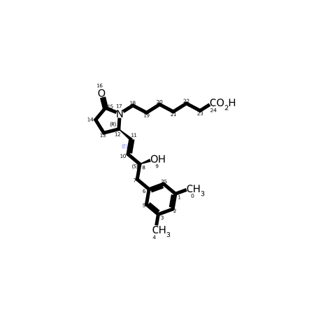 Cc1cc(C)cc(C[C@H](O)/C=C/[C@H]2CCC(=O)N2CCCCCCC(=O)O)c1